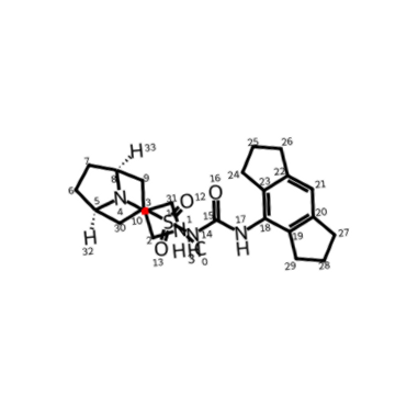 CN1CC(N2[C@@H]3CC[C@H]2CC(S(=O)(=O)NC(=O)Nc2c4c(cc5c2CCC5)CCC4)C3)C1